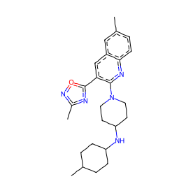 Cc1ccc2nc(N3CCC(NC4CCC(C)CC4)CC3)c(-c3nc(C)no3)cc2c1